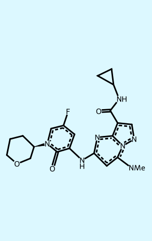 CNc1cc(Nc2cc(F)cn([C@@H]3CCCOC3)c2=O)nc2c(C(=O)NC3CC3)cnn12